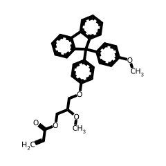 C=CC(=O)OCC(COc1ccc(C2(c3ccc(OC)cc3)c3ccccc3-c3ccccc32)cc1)OC